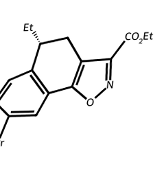 CCOC(=O)c1noc2c1C[C@@H](CC)c1ccc(Br)cc1-2